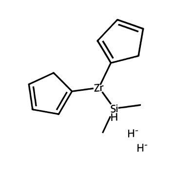 C[SiH](C)[Zr]([C]1=CC=CC1)[C]1=CC=CC1.[H-].[H-]